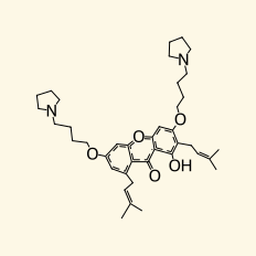 CC(C)=CCc1c(OCCCCN2CCCC2)cc2oc3cc(OCCCCN4CCCC4)cc(CC=C(C)C)c3c(=O)c2c1O